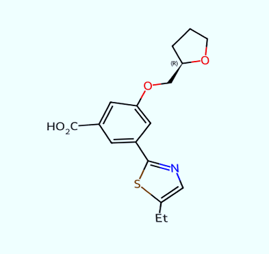 CCc1cnc(-c2cc(OC[C@H]3CCCO3)cc(C(=O)O)c2)s1